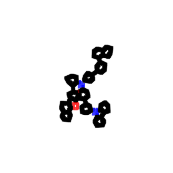 c1cc(-c2ccc(N(c3ccc(-c4cccc(-n5c6ccccc6c6ccccc65)c4)cc3)c3ccccc3-c3ccc4oc5c6ccccc6ccc5c4c3)cc2)cc(-c2cccc3ccccc23)c1